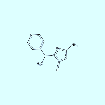 CC(c1ccncc1)n1[nH]c(N)cc1=O